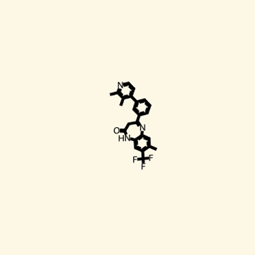 Cc1cc2c(cc1C(F)(F)F)NC(=O)CC(c1cccc(-c3ccnc(C)c3C)c1)=N2